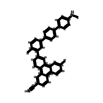 CNc1ccc(-c2ccc(-c3ccc(C)c(-c4ccc5c6cc(C#N)ccc6c6ccc(C)cc6c5c4)c3)cc2)cc1